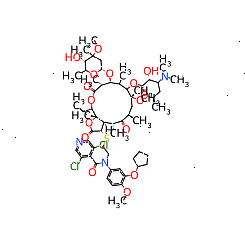 CC[C@H]1OC(=O)[C@H](C)[C@@H](O[C@H]2C[C@@](C)(OC)[C@@H](O)[C@H](C)O2)C(C)[C@@H](O[C@@H]2O[C@H](C)C[C@H](N(C)C)[C@H]2O)[C@](C)(OC)C[C@@H](C)C(=O)[C@H](C)[C@H]2[C@H](SCCN(C(=O)c3c(Cl)cncc3Cl)c3ccc(OC)c(OC4CCCC4)c3)C(=O)O[C@@]21C